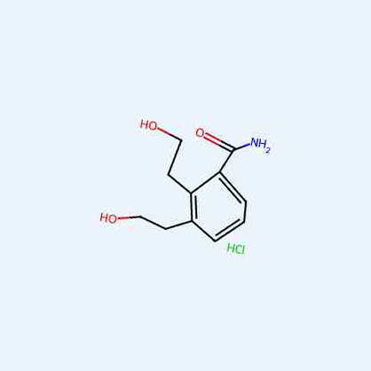 Cl.NC(=O)c1cccc(CCO)c1CCO